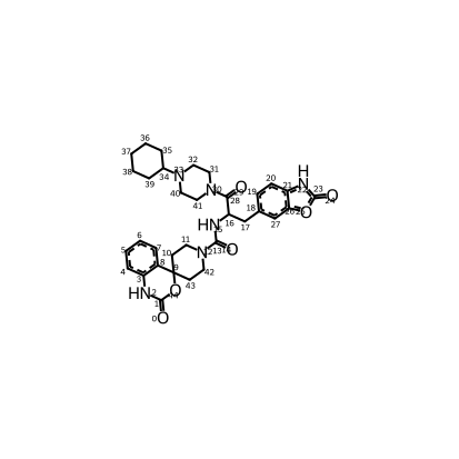 O=C1Nc2ccccc2C2(CCN(C(=O)NC(Cc3ccc4[nH]c(=O)oc4c3)C(=O)N3CCN(C4CCCCC4)CC3)CC2)O1